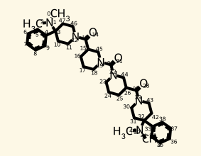 CN(C)C1(c2ccccc2)CCN(C(=O)C2CCCN(C(=O)N3CCCC(C(=O)N4CCC(c5ccccc5)(N(C)C)CC4)C3)C2)CC1